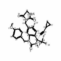 COc1ccc(CN2C(=O)N(C)[C@](C#CC3CC3)(C(F)(F)F)c3cc(F)c(CN4C(=O)CNC4=O)cc32)cc1